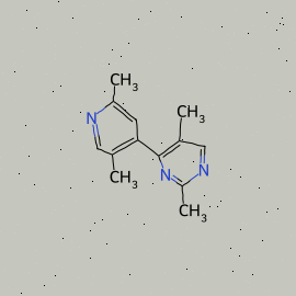 Cc1cc(-c2nc(C)ncc2C)c(C)cn1